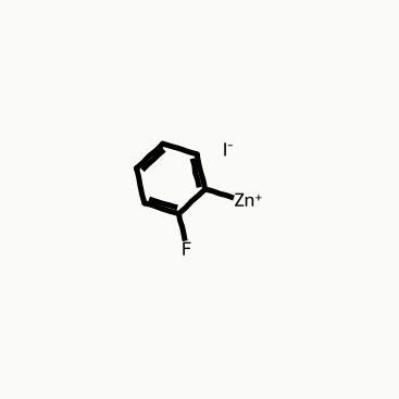 Fc1cccc[c]1[Zn+].[I-]